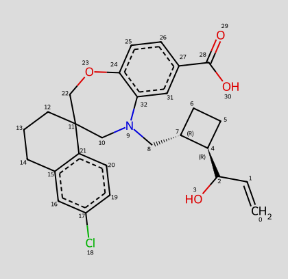 C=CC(O)[C@@H]1CC[C@H]1CN1CC2(CCCc3cc(Cl)ccc32)COc2ccc(C(=O)O)cc21